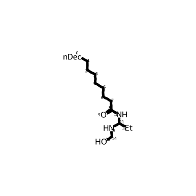 CCCCCCCCCCCCCCCCCC(=O)NC(CC)NCO